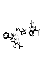 CNc1nc(N)nc2c1ncn2[C@@H]1O[C@H](CO[P@@](=O)(N[C@H](C)C(=O)OC(C)C)Oc2ccccc2)[C@@H](O)C1(C)C